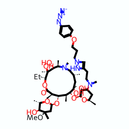 CC[C@H]1OC(=O)[C@H](C)[C@@H](O[C@H]2C[C@@](C)(OC)[C@@H](O)[C@H](C)O2)[C@H](C)[C@@H](O[C@@H]2O[C@H](C)C[C@H](N(C)CCc3cn(CCCOc4ccc(N=[N+]=[N-])cc4)[nH]3)[C@H]2O)[C@](C)(O)C[C@@H](C)CN(C)[C@H](C)[C@@H](O)[C@]1(C)O